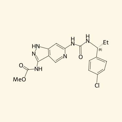 CC[C@@H](NC(=O)Nc1cc2[nH]nc(NC(=O)OC)c2cn1)c1ccc(Cl)cc1